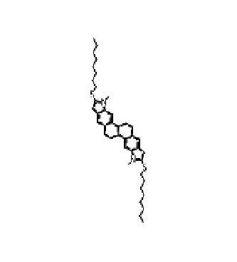 CCCCCCCCSc1cc2cc3ccc4c5cc6c(cc(SCCCCCCCC)n6C)cc5ccc4c3cc2n1C